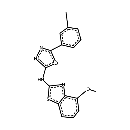 COc1cccc2sc(Nc3nnc(-c4cccc(C)c4)o3)nc12